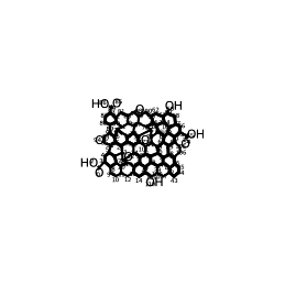 O=C(O)c1cc2c3c4c1C=CC1Cc5cc6c7c8c5C(=C41)[C@@]14OC31c1c3c5c9c%10c%11c%12c%13c(c1%10)C4=c8c1c4c7c7c8c%10c(cccc%10c%10c%14c%15c(c%16c(C(=O)O)cc%17cc(O)c%18cc%19c%20c%21c%22c(c%15c(c4c8%14)C4(OC%224C%12C=%20C4=C%11C8C(=Cc%11c(C(=O)O)ccc(c%11C98)C=5C5OC5C=32)C2OC42C=%19)C%131)c%16c%17c%18%21)CC%10)CC7C=6O